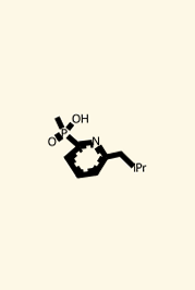 CC(C)Cc1cccc(P(C)(=O)O)n1